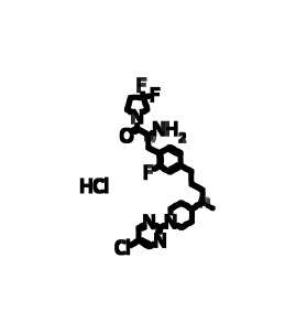 C[C@H](CCCc1ccc(C[C@H](N)C(=O)N2CCC(F)(F)C2)c(F)c1)C1CCN(c2ncc(Cl)cn2)CC1.Cl